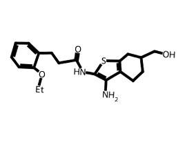 CCOc1ccccc1CCC(=O)Nc1sc2c(c1N)CCC(CO)C2